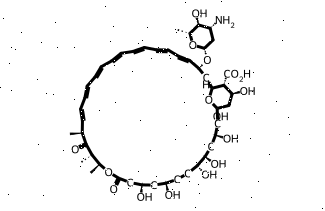 C[C@@H]1OC(=O)C[C@H](O)C[C@H](O)CC[C@@H](O)[C@H](O)C[C@H](O)C[C@]2(O)C[C@H](O)[C@@H](C(=O)O)[C@H](C[C@@H](O[C@H]3C[C@@H](N)[C@H](O)[C@@H](C)O3)/C=C/C=C/C=C/C=C/C=C/C=C/C=C/[C@H](C)C(=O)[C@H]1C)O2